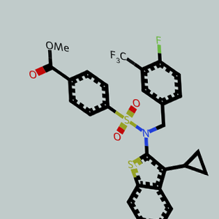 COC(=O)c1ccc(S(=O)(=O)N(Cc2ccc(F)c(C(F)(F)F)c2)c2sc3ccccc3c2C2CC2)cc1